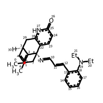 C/C=C1\[C@H]2C=C(C)C[C@]1(/N=C/C=C/c1ccccc1N(CC)CC)c1ccc(=O)[nH]c1C2